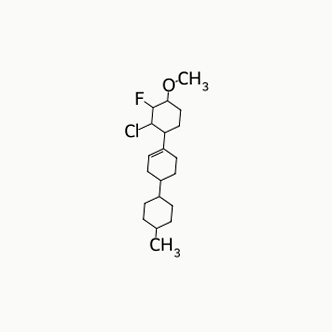 COC1CCC(C2=CCC(C3CCC(C)CC3)CC2)C(Cl)C1F